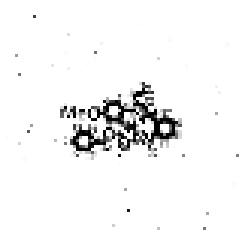 COc1ccc(CN2/C(=N/C(=O)OCc3ccccc3)N(C)N(C)c3ccccc3C2(C)c2cccs2)cc1